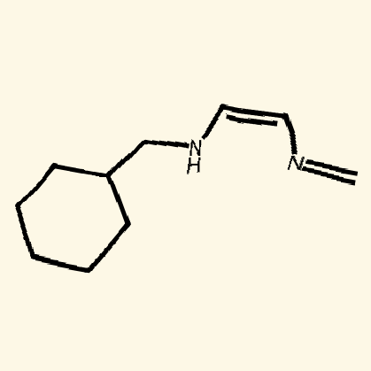 C=N/C=C\NCC1CCCCC1